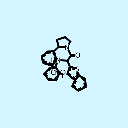 O=Cc1cccc(C2CCCN2C(=O)C(Nc2ccccc2F)c2cc3ccccc3s2)c1